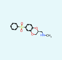 CNC[C@H]1COc2cc(S(=O)(=O)c3ccccc3)ccc2O1